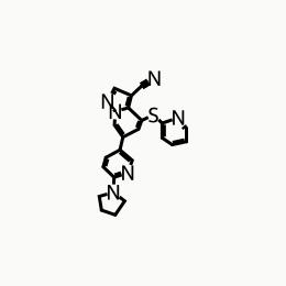 N#Cc1cnn2cc(-c3ccc(N4CCCC4)nc3)cc(Sc3ccccn3)c12